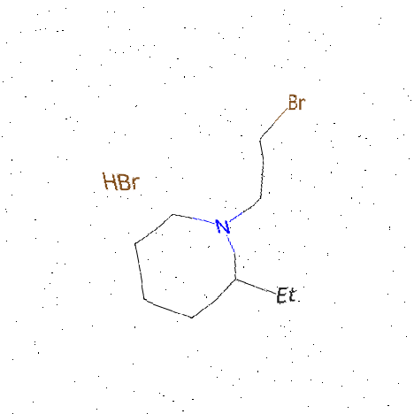 Br.CCC1CCCCN1CCBr